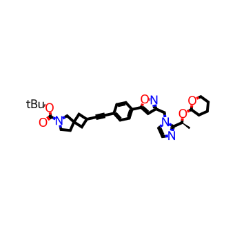 C[C@H](OC1CCCCO1)c1nccn1Cc1cc(-c2ccc(C#CC3CC4(CCN(C(=O)OC(C)(C)C)C4)C3)cc2)on1